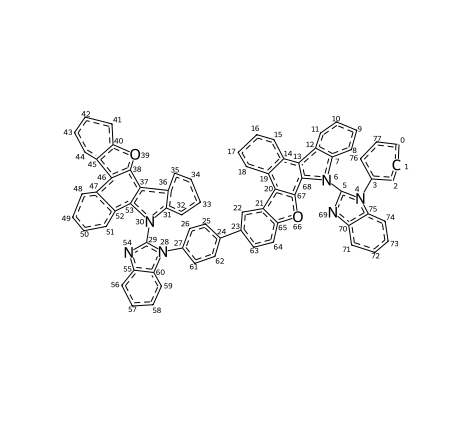 c1ccc(-n2c(-n3c4ccccc4c4c5ccccc5c5c6cc(-c7ccc(-n8c(-n9c%10ccccc%10c%10c%11oc%12ccccc%12c%11c%11ccccc%11c%109)nc9ccccc98)cc7)ccc6oc5c43)nc3ccccc32)cc1